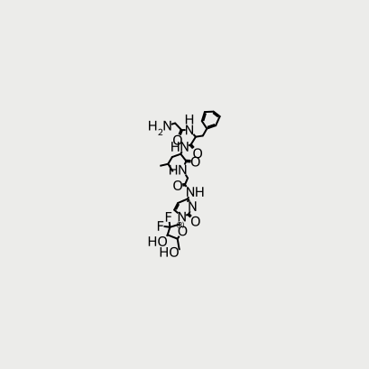 CC(C)CC(NC(=O)C(Cc1ccccc1)NC(=O)CN)C(=O)NCC(=O)Nc1ccn([C@@H]2OC(CO)C(O)C2(F)F)c(=O)n1